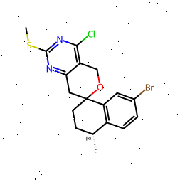 CSc1nc(Cl)c2c(n1)CC1(CC[C@@H](C)c3ccc(Br)cc31)OC2